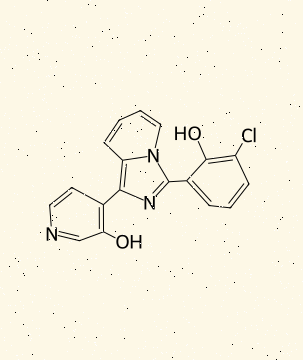 Oc1cnccc1-c1nc(-c2cccc(Cl)c2O)n2ccccc12